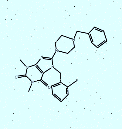 Cn1c(=O)c2c(nc(N3CCN(Cc4ccccc4)CC3)n2Cc2ccccc2F)n(C)c1=O